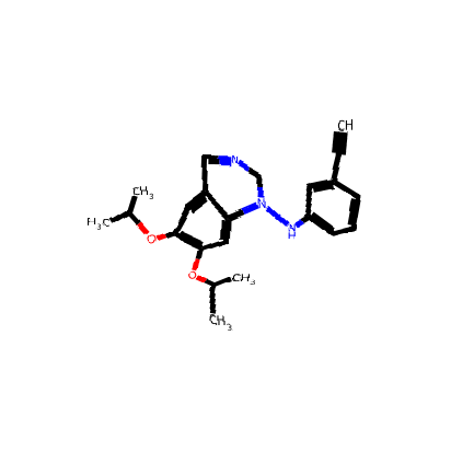 C#Cc1cccc(NN2CN=Cc3cc(OC(C)C)c(OC(C)C)cc32)c1